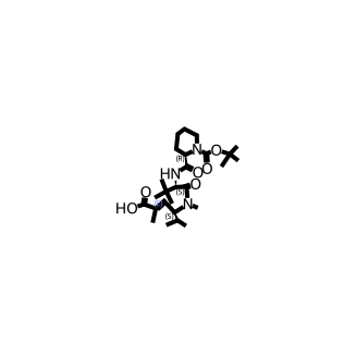 C/C(=C\[C@H](C(C)C)N(C)C(=O)[C@@H](NC(=O)[C@H]1CCCCN1C(=O)OC(C)(C)C)C(C)(C)C)C(=O)O